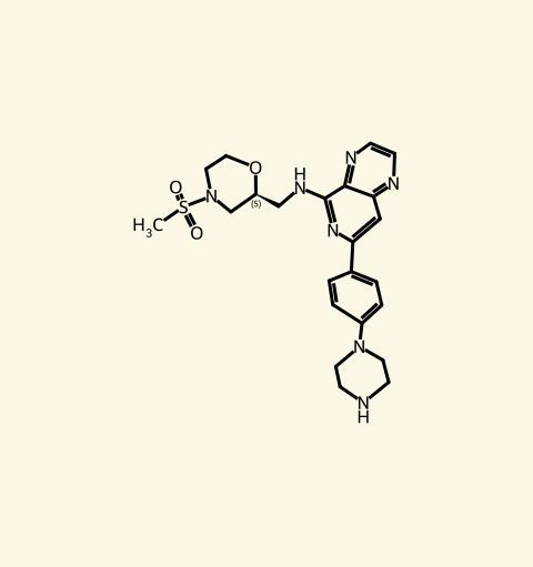 CS(=O)(=O)N1CCO[C@@H](CNc2nc(-c3ccc(N4CCNCC4)cc3)cc3nccnc23)C1